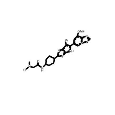 CCN(C)CC(=O)NC1CCC(c2nc3c(C(C)C)c(-c4cc(OC)c5ncnn5c4)[nH]c3s2)CC1